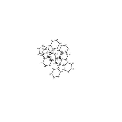 C1CCC([O][Ti]([O]C2CCCCC2)([O][Si](C2CCCCC2)(C2CCCCC2)C2CCCCC2)[O][Si](C2CCCCC2)(C2CCCCC2)C2CCCCC2)CC1